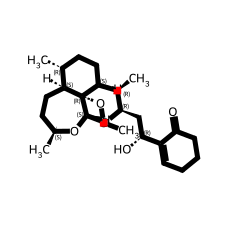 COO[C@]12[C@H]3O[C@@H](C)CC[C@H]1[C@H](C)CC[C@H]2[C@@H](C)[C@@H](C[C@@H](O)C1=CCCCC1=O)O3